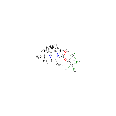 BC1CN(C(C)(C)C)C(B)(B)C(B)(B)N1C(=O)OC(C(F)(F)F)C(F)(F)F